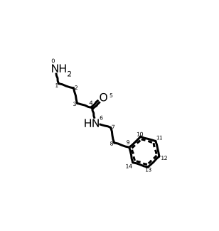 NCCCC(=O)NCCc1ccccc1